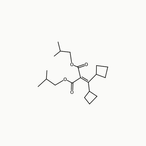 CC(C)COC(=O)C(C(=O)OCC(C)C)=C(C1CCC1)C1CCC1